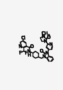 CN1CCN(c2cc(-n3c(=O)n(CC4CCC(NC(=O)c5cc(Cl)cnc5C(F)F)CC4)c4ccccc43)ccn2)C1=O